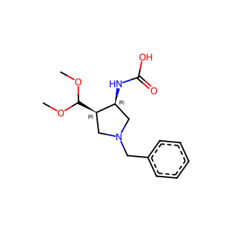 COC(OC)[C@@H]1CN(Cc2ccccc2)C[C@@H]1NC(=O)O